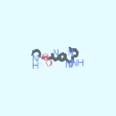 Cc1cccc(-c2[nH]cnc2-c2ccc3ncc(C(=O)OC[C@H]4CCCCN4)cc3c2)n1